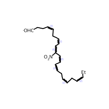 CC/C=C\C/C=C\C\C=C/C=C\C(=C/C=C\C/C=C\CC[C]=O)[N+](=O)[O-]